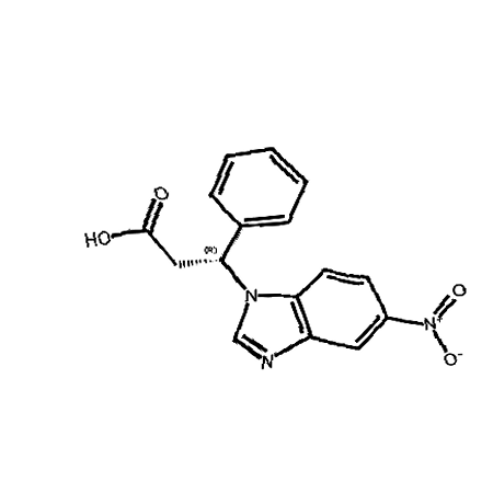 O=C(O)C[C@H](c1ccccc1)n1cnc2cc([N+](=O)[O-])ccc21